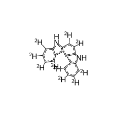 [2H]c1c([2H])c([2H])c2c([nH]c3c([2H])c([2H])c4[nH]c5c([2H])c([2H])c([2H])c([2H])c5c4c32)c1[2H]